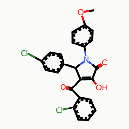 COc1ccc(N2C(=O)C(O)=C(C(=O)c3ccccc3Cl)C2c2ccc(Cl)cc2)cc1